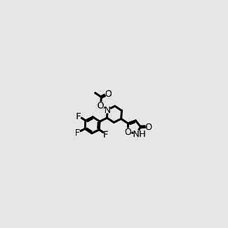 CC(=O)ON1CCC(c2cc(=O)[nH]o2)CC1c1cc(F)c(F)cc1F